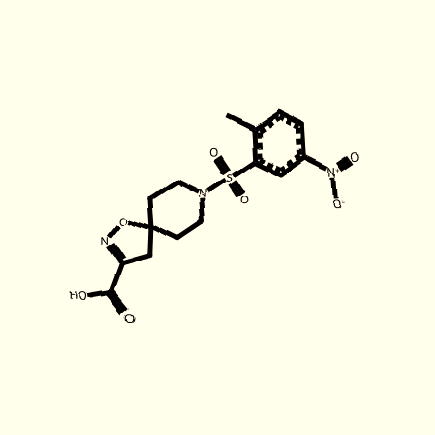 Cc1ccc([N+](=O)[O-])cc1S(=O)(=O)N1CCC2(CC1)CC(C(=O)O)=NO2